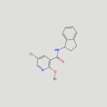 CCOc1ncc(Cl)cc1C(=O)NC1CCc2ccccc21